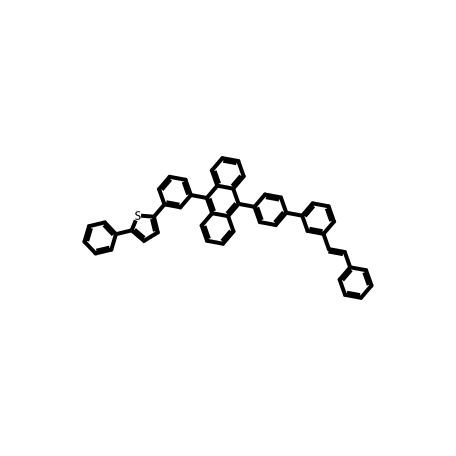 C(=C\c1cccc(-c2ccc(-c3c4ccccc4c(-c4cccc(-c5ccc(-c6ccccc6)s5)c4)c4ccccc34)cc2)c1)/c1ccccc1